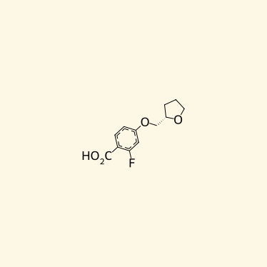 O=C(O)c1ccc(OC[C@@H]2CCCO2)cc1F